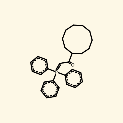 O=C(C=P(c1ccccc1)(c1ccccc1)c1ccccc1)C1CCCCCCCCC1